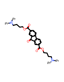 CC(C)N(CCCCOC(=O)c1ccc2c(c1)C(=O)c1cc(C(=O)OCCCCN(C(C)C)C(C)C)ccc1-2)C(C)C